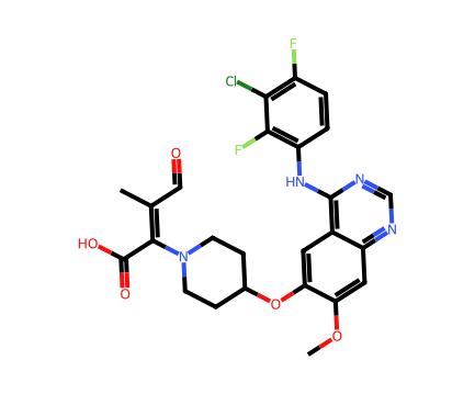 COc1cc2ncnc(Nc3ccc(F)c(Cl)c3F)c2cc1OC1CCN(C(C(=O)O)=C(C)C=O)CC1